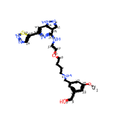 OCc1cc(CNCCCCOCCNc2nc(-c3cnns3)cc3[nH]ncc23)cc(OC(F)(F)F)c1